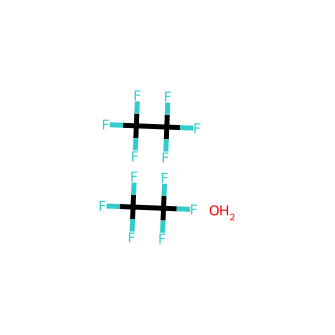 FC(F)(F)C(F)(F)F.FC(F)(F)C(F)(F)F.O